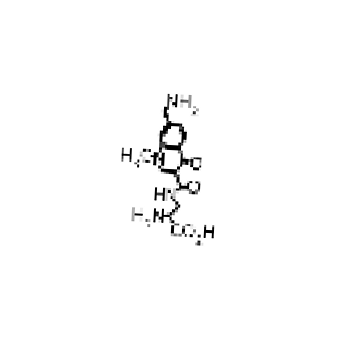 Cn1cc(C(=O)NC[C@H](N)C(=O)O)c(=O)c2ccc(CN)cc21